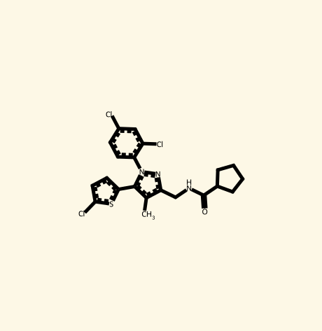 Cc1c(CNC(=O)C2CCCC2)nn(-c2ccc(Cl)cc2Cl)c1-c1ccc(Cl)s1